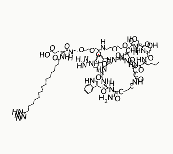 CCCC[C@H](NC(=O)[C@H](CO)NC(=O)[C@H](CO)NC(=O)COCCOCCNC(=O)COCCOCCNC(=O)[C@@H](CCC(=O)O)NC(=O)CCCCCCCCCCCCCCCc1nnn[nH]1)C(=O)N[C@H]1CCC(=O)NCCCC[C@@H](C(N)=O)NC(=O)[C@H](Cc2c[nH]c3ccccc23)NC(=O)[C@H](CCCNC(=N)N)NC(=O)[C@@H](Cc2ccccc2)NC(=O)[C@@H]2C[C@@H](O)CN2C1=O